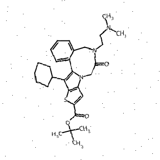 CN(C)CCN1Cc2ccccc2-c2c(C3CCCCC3)c3sc(C(=O)OC(C)(C)C)cc3n2CC1=O